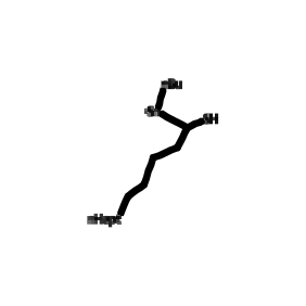 CCCCCCCCCCC[CH](S)[Sn][CH2]CCC